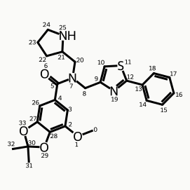 COc1cc(C(=O)N(Cc2csc(-c3ccccc3)n2)CC2CCCN2)cc2c1OC(C)(C)O2